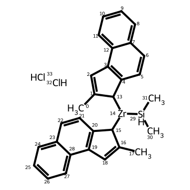 CC1=Cc2c(ccc3ccccc23)[CH]1[Zr]([CH]1C(C)=Cc2c1ccc1ccccc21)[SiH](C)C.Cl.Cl